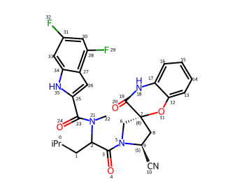 CC(C)CC(C(=O)N1C[C@@]2(C[C@H]1C#N)Oc1ccccc1NC2=O)N(C)C(=O)c1cc2c(F)cc(F)cc2[nH]1